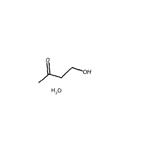 CC(=O)CCO.O